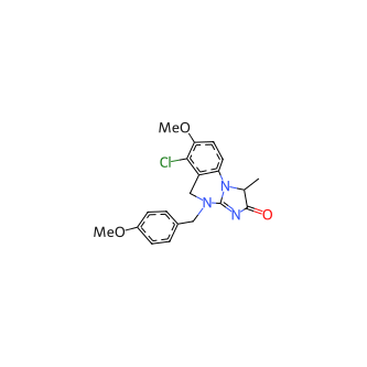 COc1ccc(CN2Cc3c(ccc(OC)c3Cl)N3C2=NC(=O)C3C)cc1